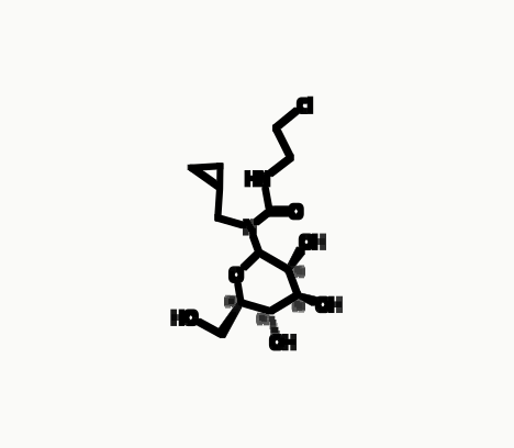 O=C(NCCCl)N(CC1CC1)C1O[C@H](CO)[C@@H](O)[C@H](O)[C@@H]1O